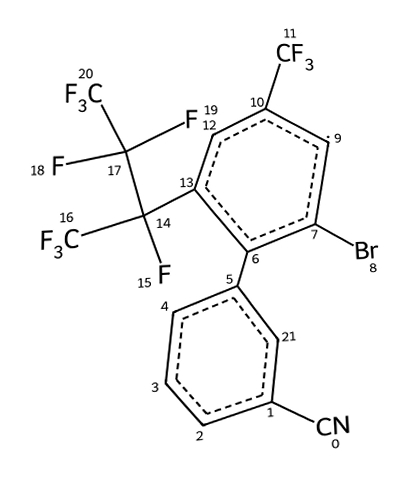 N#Cc1cccc(-c2c(Br)[c]c(C(F)(F)F)cc2C(F)(C(F)(F)F)C(F)(F)C(F)(F)F)c1